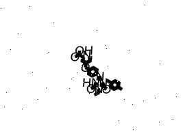 CCn1c(=O)[nH]/c(=N\c2ccc(Oc3ccnc(C(=O)O)c3)cc2)n(Cc2ccc(C)cc2)c1=O